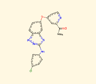 CNC(=O)c1cc(Oc2ccc3nnc(Nc4ccc(Cl)cc4)nc3c2)ccn1